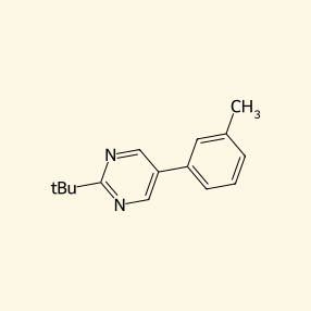 Cc1cccc(-c2cnc(C(C)(C)C)nc2)c1